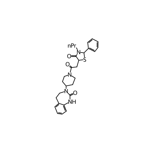 CCCN1C(=O)C(CC(=O)N2CCC(N3CCc4ccccc4NC3=O)CC2)SC1c1ccccc1